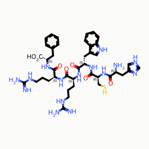 N=C(N)NCCC[C@H](NC(=O)[C@H](CCCNC(=N)N)NC(=O)[C@H](Cc1c[nH]c2ccccc12)NC(=O)[C@H](CS)NC(=O)[C@@H](N)Cc1c[nH]cn1)C(=O)N[C@@H](Cc1ccccc1)C(=O)O